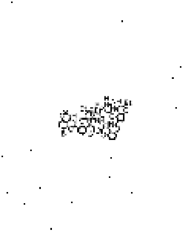 CCC1C[C@@H](N2C(=N)NC(CC)(CC)CC2=O)c2cc(C(=O)NC3c4ccccc4OC(C)(CC4C[C@@H](N5C(=N)NC(CC)(CC)CC5=O)c5cc(C(=O)N[C@H]6CC(C)(C)Oc7ccc(Br)cc76)ccc5O4)C3O)ccc2O1